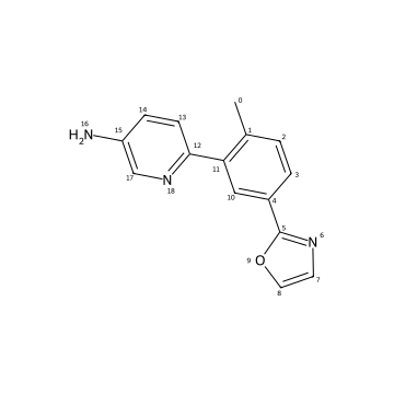 Cc1ccc(-c2ncco2)cc1-c1ccc(N)cn1